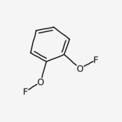 FOc1ccccc1OF